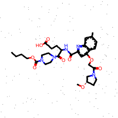 CCCCOC(=O)N1CCN(C(=O)C(CCC(=O)O)NC(=O)c2cc(OCC(=O)N3CC[C@H](OC)C3)c3ccc(C)cc3n2)CC1